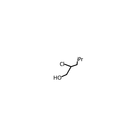 CC(C)CC(Cl)CO